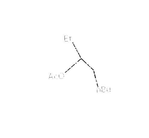 [CH2]CC(CCCCC)OC(C)=O